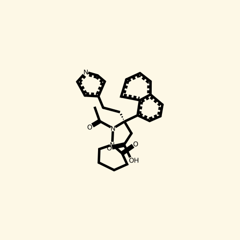 CC(=O)N(N1CCCCC1=O)[C@](CCc1ccncc1)(CC(=O)O)c1cccc2ccccc12